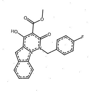 COC(=O)c1c(O)c2cc3ccccc3n2n(Cc2ccc(F)cc2)c1=O